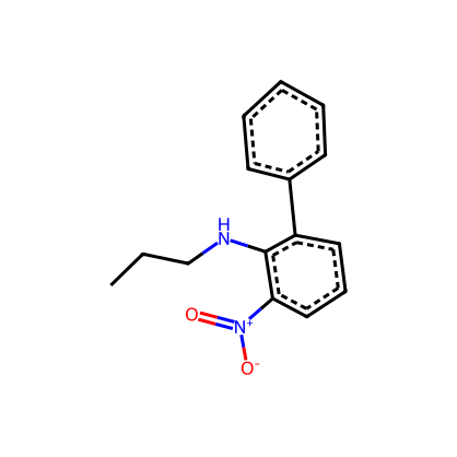 CCCNc1c(-c2ccccc2)cccc1[N+](=O)[O-]